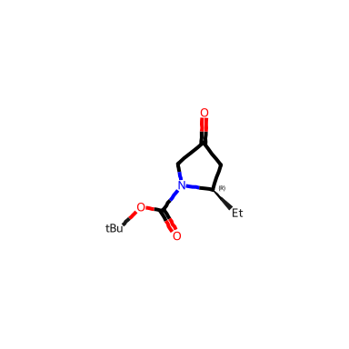 CC[C@@H]1CC(=O)CN1C(=O)OC(C)(C)C